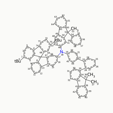 CC(C)(C)c1ccc2c(c1)C1(c3ccccc3-c3ccc(N(c4ccc(-c5ccccc5-c5cccc6c5C(C)(C)c5ccccc5-6)cc4)c4ccc5c(c4)C(C)(c4ccccc4)c4ccccc4-5)cc31)c1cc(C(C)(C)C)ccc1-2